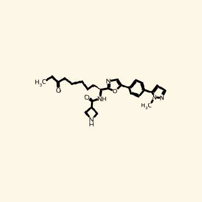 CCC(=O)CCCCC[C@H](NC(=O)C1CNC1)c1ncc(-c2ccc(-c3ccnn3C)cc2)o1